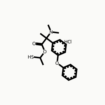 CC(S)OC(=O)C(C)(c1cccc(Oc2ccccc2)c1)N(C)C.Cl